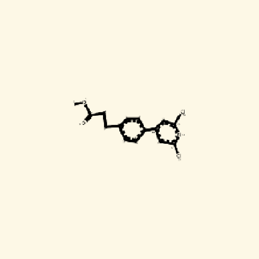 COC(=O)CCc1ccc(-c2cc(Cl)nc(Cl)c2)cc1